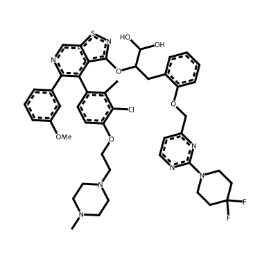 COc1cccc(-c2ncc3snc(OC(Cc4ccccc4OCc4ccnc(N5CCC(F)(F)CC5)n4)C(O)O)c3c2-c2ccc(OCCN3CCN(C)CC3)c(Cl)c2C)c1